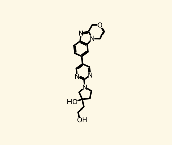 OCCC1(O)CCN(c2ncc(-c3ccc4nc5n(c4c3)CCOC5)cn2)C1